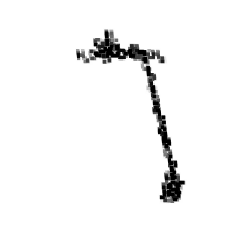 CCCN(OCC)C(=O)C1=Cc2ccc(-c3cnc(CN(C)CCOCCOCCOCCOCCOCCOCCOCCOCCOCCOCCC(=O)Oc4c(F)c(F)c(S(=O)(=O)O)c(F)c4F)nc3)cc2N=C(N)C1